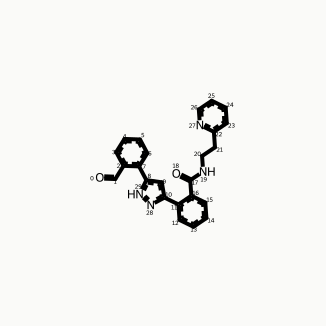 O=Cc1ccccc1-c1cc(-c2ccccc2C(=O)NCCc2ccccn2)n[nH]1